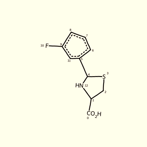 O=C(O)C1CSC(c2cccc(F)c2)N1